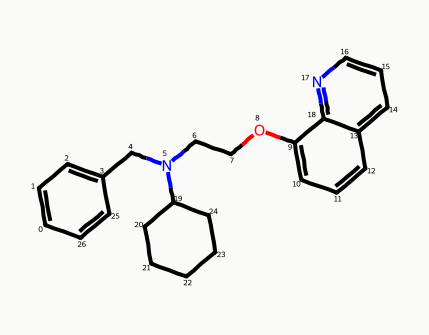 c1ccc(CN(CCOc2cccc3cccnc23)C2CCCCC2)cc1